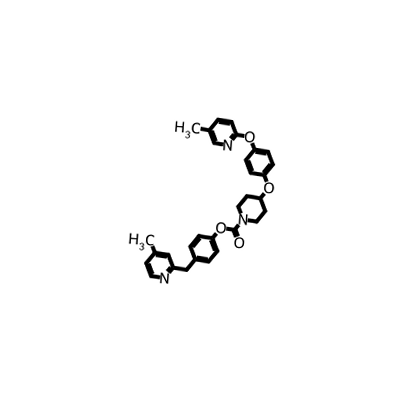 Cc1ccc(Oc2ccc(OC3CCN(C(=O)Oc4ccc(Cc5cc(C)ccn5)cc4)CC3)cc2)nc1